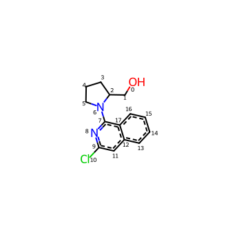 OCC1CCCN1c1nc(Cl)cc2ccccc12